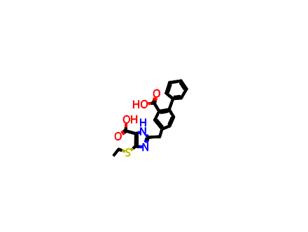 CCSc1nc(Cc2ccc(-c3ccccc3)c(C(=O)O)c2)[nH]c1C(=O)O